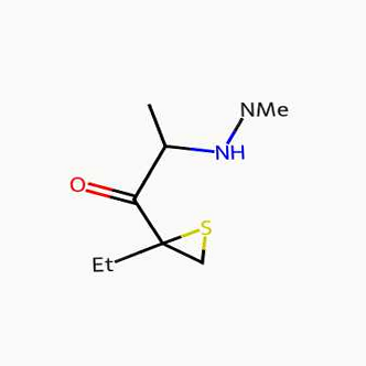 CCC1(C(=O)C(C)NNC)CS1